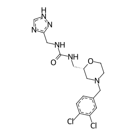 O=C(NCc1nc[nH]n1)NC[C@H]1CN(Cc2ccc(Cl)c(Cl)c2)CCO1